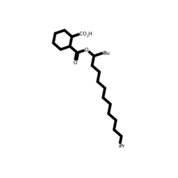 CCC(C)C(CCCCCCCCCCC(C)C)OC(=O)C1CCCCC1C(=O)O